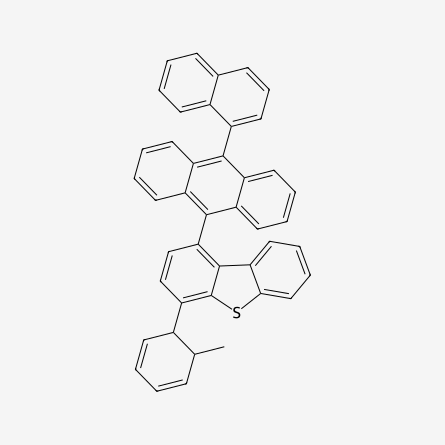 CC1C=CC=CC1c1ccc(-c2c3ccccc3c(-c3cccc4ccccc34)c3ccccc23)c2c1sc1ccccc12